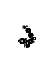 Cc1cc(C2CCC2)c(-c2nc3c([nH]2)CCN(C)CC3)cc1C(=O)N1CCC(c2ccc(C#N)cc2)CC1